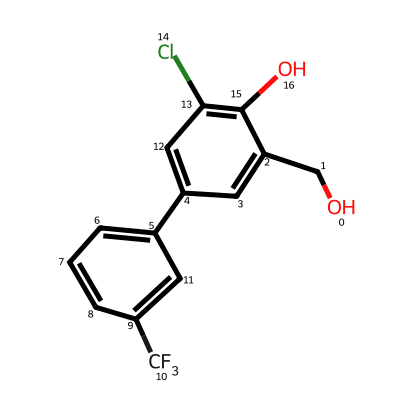 OCc1cc(-c2cccc(C(F)(F)F)c2)cc(Cl)c1O